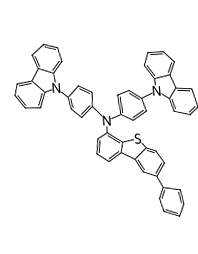 c1ccc(-c2ccc3sc4c(N(c5ccc(-n6c7ccccc7c7ccccc76)cc5)c5ccc(-n6c7ccccc7c7ccccc76)cc5)cccc4c3c2)cc1